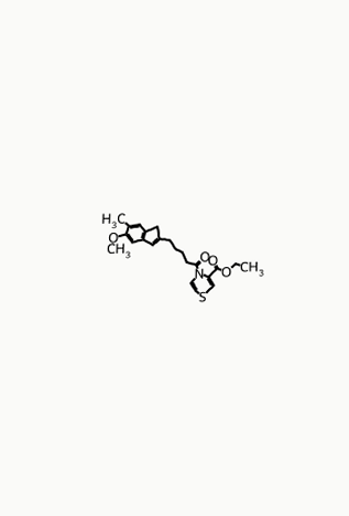 CCOC(=O)C1=CSC=CN1C(=O)CCCCC1=Cc2cc(OC)c(C)cc2C1